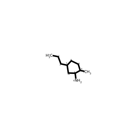 CCCC1CCC(C)C(N)C1